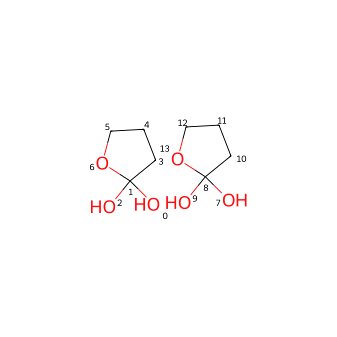 OC1(O)CCCO1.OC1(O)CCCO1